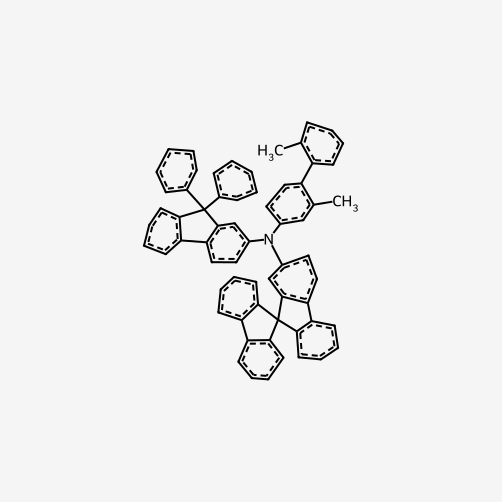 Cc1ccccc1-c1ccc(N(c2ccc3c(c2)C(c2ccccc2)(c2ccccc2)c2ccccc2-3)c2ccc3c(c2)C2(c4ccccc4-c4ccccc42)c2ccccc2-3)cc1C